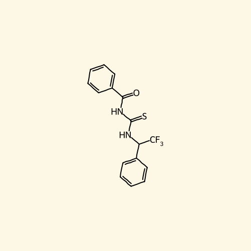 O=C(NC(=S)NC(c1ccccc1)C(F)(F)F)c1ccccc1